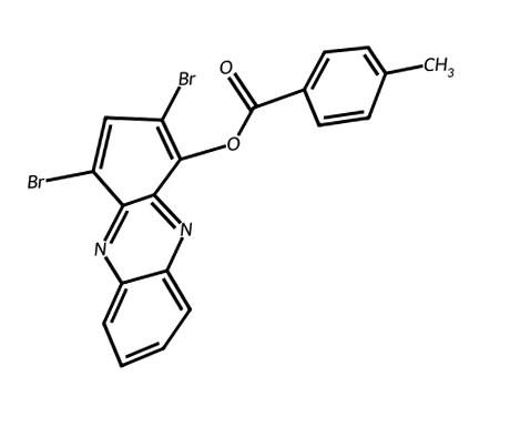 Cc1ccc(C(=O)Oc2c(Br)cc(Br)c3nc4ccccc4nc23)cc1